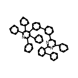 c1ccc(-c2cc(-c3cccc(-c4cccc(-c5c(-c6ccccc6)c(-c6ccccc6)nc(-c6ccccc6)c5-c5ccccc5)c4)c3)nc(-c3ccccc3-c3ccccc3)n2)cc1